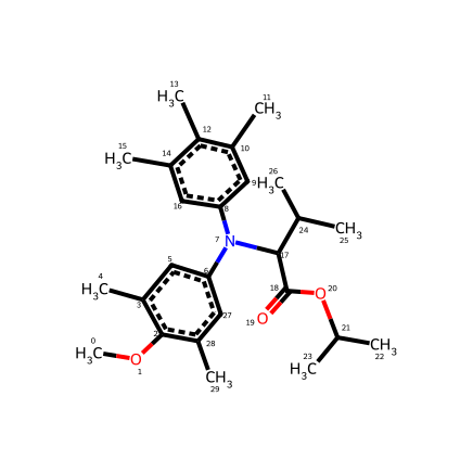 COc1c(C)cc(N(c2cc(C)c(C)c(C)c2)C(C(=O)OC(C)C)C(C)C)cc1C